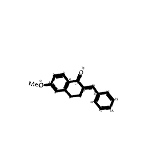 COc1ccc2c(c1)CCC(=Cc1ccccc1)C2=O